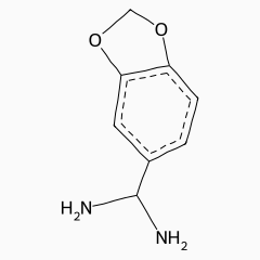 NC(N)c1ccc2c(c1)OCO2